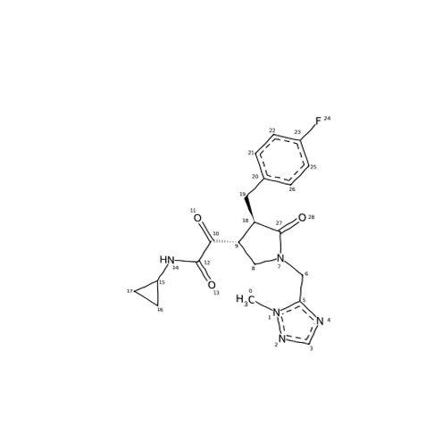 Cn1ncnc1CN1C[C@H](C(=O)C(=O)NC2CC2)[C@@H](Cc2ccc(F)cc2)C1=O